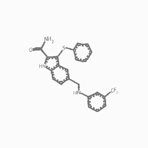 NC(=O)c1[nH]c2ccc(CNc3cccc(C(F)(F)F)c3)cc2c1Sc1ccccc1